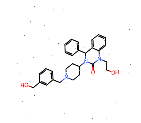 O=C1N(CCO)c2ccccc2C(c2ccccc2)N1C1CCN(Cc2cccc(CO)c2)CC1